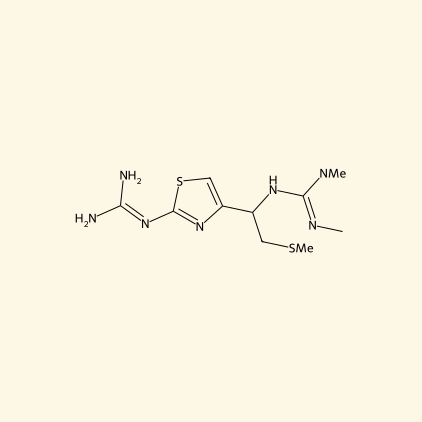 CN=C(NC)NC(CSC)c1csc(N=C(N)N)n1